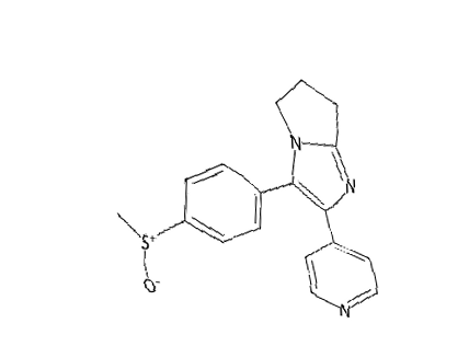 C[S+]([O-])c1ccc(-c2c(-c3ccncc3)nc3n2CCC3)cc1